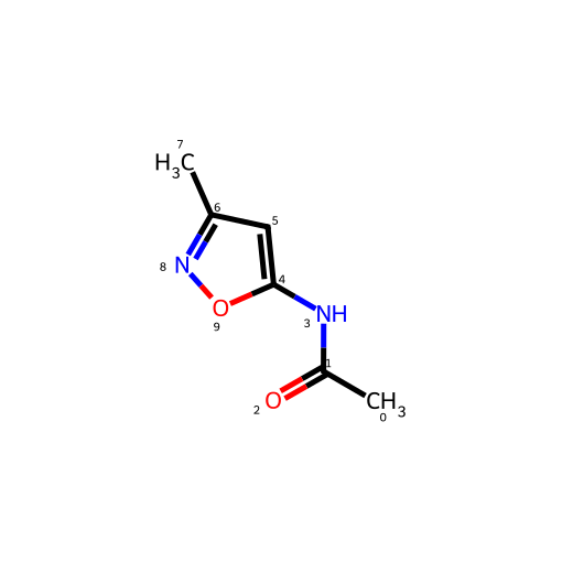 CC(=O)Nc1cc(C)no1